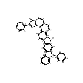 c1ccc(-c2nc3c(ccc4ccc5c(ccc6c7cc8c9ccccc9n(-c9ccccc9)c8cc7sc65)c43)o2)cc1